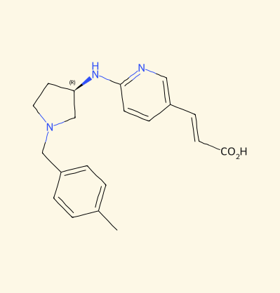 Cc1ccc(CN2CC[C@@H](Nc3ccc(C=CC(=O)O)cn3)C2)cc1